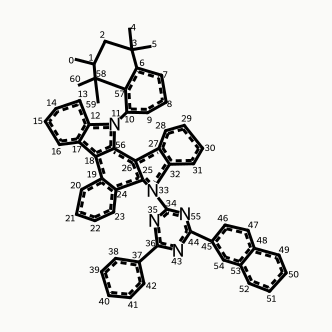 CC1CC(C)(C)c2cccc(-n3c4ccccc4c4c5ccccc5c5c(c6ccccc6n5-c5nc(-c6ccccc6)nc(-c6ccc7ccccc7c6)n5)c43)c2C1(C)C